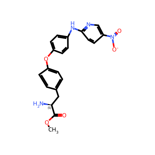 COC(=O)[C@@H](N)Cc1ccc(Oc2ccc(Nc3ccc([N+](=O)[O-])cn3)cc2)cc1